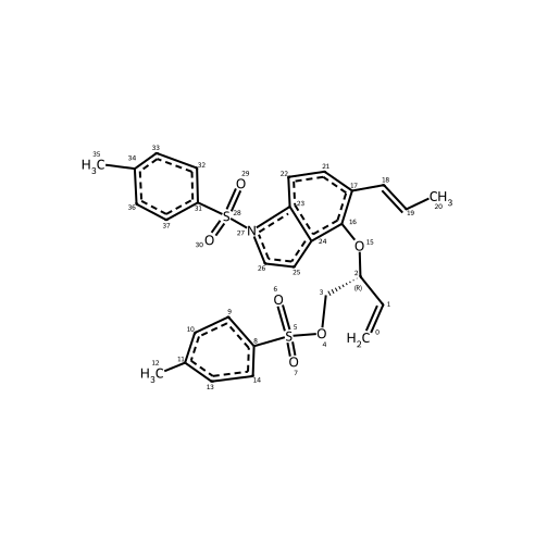 C=C[C@H](COS(=O)(=O)c1ccc(C)cc1)Oc1c(C=CC)ccc2c1ccn2S(=O)(=O)c1ccc(C)cc1